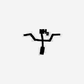 C#CC(N)(CCC)CCC